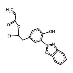 C=CC(=O)OC(CC)Cc1ccc(O)c(-n2nc3ccccc3n2)c1